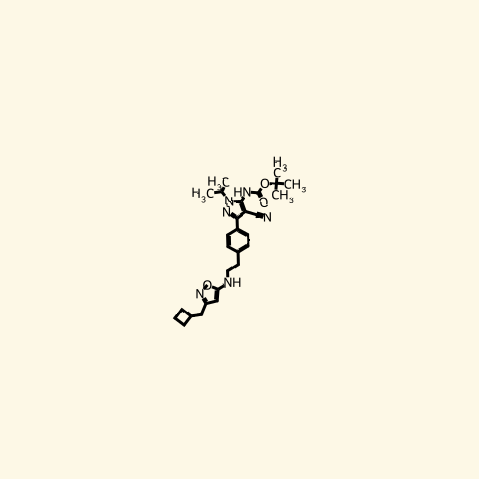 CC(C)n1nc(-c2ccc(CCNc3cc(CC4CCC4)no3)cc2)c(C#N)c1NC(=O)OC(C)(C)C